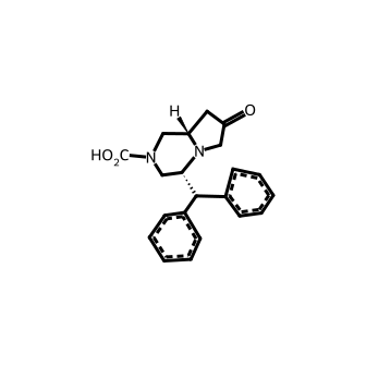 O=C1C[C@H]2CN(C(=O)O)C[C@@H](C(c3ccccc3)c3ccccc3)N2C1